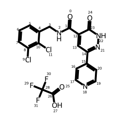 O=C(NCc1cccc(Cl)c1Cl)c1cc(-c2ccncc2)n[nH]c1=O.O=C(O)C(F)(F)F